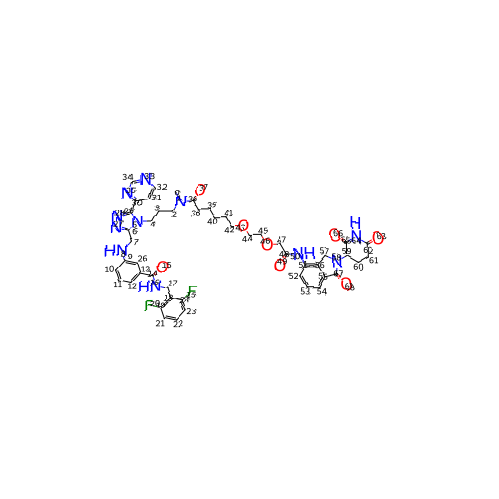 CN(CCCn1c(CNc2cccc(C(=O)NCc3c(F)cccc3F)c2)nnc1-c1ccncn1)C(=O)CCCCCOCCOCC(=O)Nc1cccc2c1CN(C1CCC(=O)NC1=O)C2=O